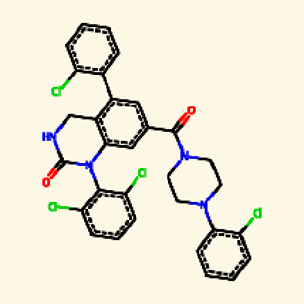 O=C(c1cc(-c2ccccc2Cl)c2c(c1)N(c1c(Cl)cccc1Cl)C(=O)NC2)N1CCN(c2ccccc2Cl)CC1